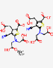 N#Cc1c(N(CC(=O)O)CC(=O)O)sc(C(=O)[O-])c1CC(=O)O.N#Cc1c(N(CC(=O)O)CC(=O)O)sc(C(=O)[O-])c1CC(=O)O.[Na+].[Na+]